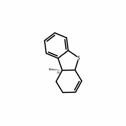 C[C@@]12CCC=CC1Sc1ccccc12